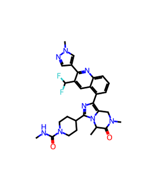 CNC(=O)N1CCC(c2nc(-c3cccc4nc(-c5cnn(C)c5)c(C(F)F)cc34)c3n2C(C)C(=O)N(C)C3)CC1